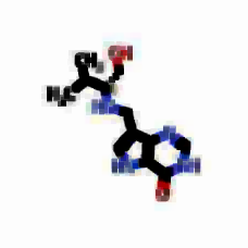 CC(C)[C@H](CO)NCc1c[nH]c2c(=O)[nH]cnc12